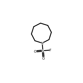 O=S(=O)(F)N1CCCCCCC1